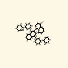 Cc1ccc2c3c(cccc13)-c1c-2c(-c2cccc(C3=CC=CCN3)c2)c2ccccc2c1-c1cccc(-c2ccccn2)c1